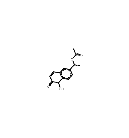 CC(=O)OC(C)c1ccc2c(c1)C=CC(=S)C2O